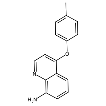 Cc1ccc(Oc2ccnc3c(N)cccc23)cc1